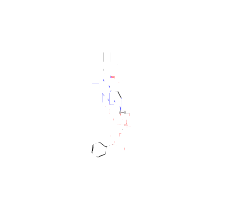 CC(=O)Nc1ccn([C@H]2CO[C@H](COC(=O)c3ccccc3)O2)c(=O)n1